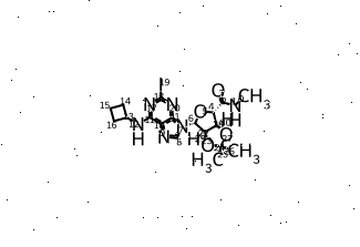 CNC(=O)[C@H]1O[C@@H](n2cnc3c(NC4CCC4)nc(I)nc32)[C@@H]2OC(C)(C)O[C@@H]21